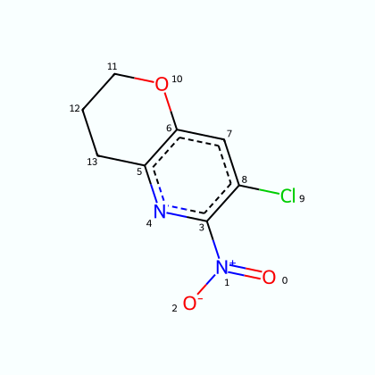 O=[N+]([O-])c1nc2c(cc1Cl)OCCC2